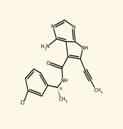 CC#Cc1[nH]c2ncnc(N)c2c1C(=O)N[C@H](C)c1cccc(Cl)c1